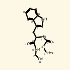 CCCCCCOC(=O)NC(Cc1c[nH]c2ccccc12)C(=O)NCC#N